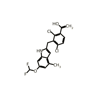 C=C(O)c1ccc(Cl)c(Cc2cc3c(C)cc(OC(F)F)cc3[nH]2)c1Cl